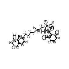 COC(=O)[C@H](C/C=C(\C)CCCCc1ccc2c(n1)NCCC2)NC(=O)c1c(Cl)cccc1Cl